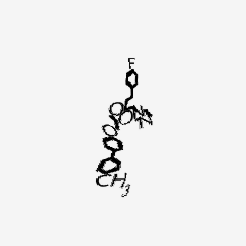 Cc1ccc(-c2ccc(OCC3COC(CCc4ccc(F)cc4)(Cn4ccnc4)O3)cc2)cc1